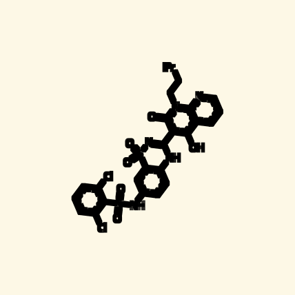 CC(C)CCn1c(=O)c(C2=NS(=O)(=O)c3cc(NS(=O)(=O)c4c(Cl)cccc4Cl)ccc3N2)c(O)c2cccnc21